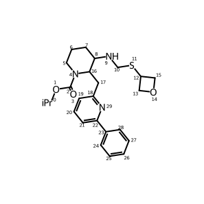 CC(C)OC(=O)N1CCCC(NCSC2COC2)C1Cc1cccc(-c2ccccc2)n1